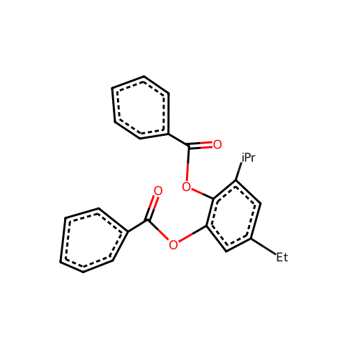 CCc1cc(OC(=O)c2ccccc2)c(OC(=O)c2ccccc2)c(C(C)C)c1